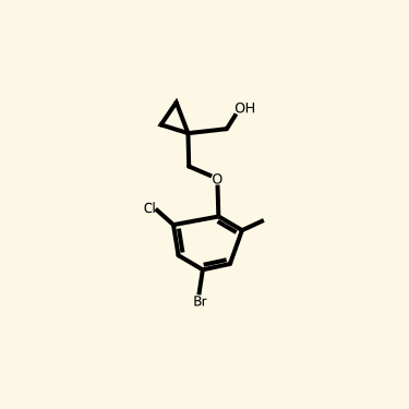 Cc1cc(Br)cc(Cl)c1OCC1(CO)CC1